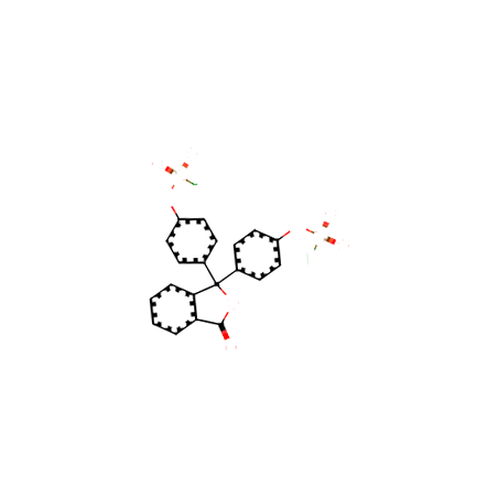 O=C1OC(c2ccc(OS(=O)(=O)F)cc2)(c2ccc(OS(=O)(=O)F)cc2)c2ccccc21